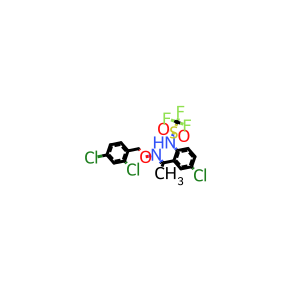 C/C(=N\OCc1ccc(Cl)cc1Cl)c1cc(Cl)ccc1NS(=O)(=O)C(F)(F)F